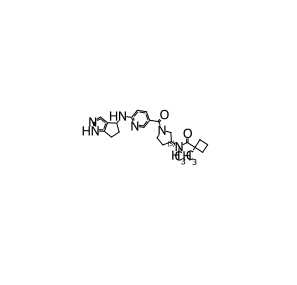 CN(C(=O)C1(C)CCC1)[C@H]1CCN(C(=O)c2ccc(NC3CCc4[nH]ncc43)nc2)C1